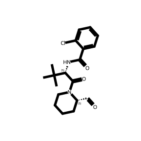 CC(C)(C)[C@H](NC(=O)c1ccccc1Cl)C(=O)N1CCCC[C@H]1C=O